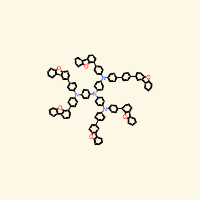 c1ccc2c(c1)oc1ccc(-c3ccc(-c4ccc(N(c5ccc(-c6cccc7c6oc6ccccc67)cc5)c5ccc(N(c6ccc(N(c7ccc(-c8ccc9oc%10ccccc%10c9c8)cc7)c7ccc(-c8cccc9c8oc8ccccc89)cc7)cc6)c6ccc(N(c7ccc(-c8ccc9oc%10ccccc%10c9c8)cc7)c7ccc(-c8cccc9c8oc8ccccc89)cc7)cc6)cc5)cc4)cc3)cc12